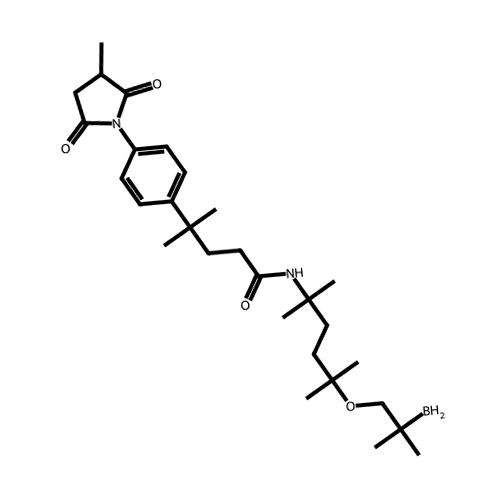 BC(C)(C)COC(C)(C)CCC(C)(C)NC(=O)CCC(C)(C)c1ccc(N2C(=O)CC(C)C2=O)cc1